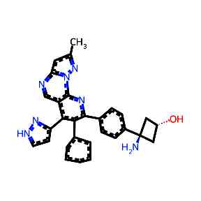 Cc1cc2ncc3c(-c4cc[nH]n4)c(-c4ccccc4)c(-c4ccc([C@]5(N)C[C@H](O)C5)cc4)nc3n2n1